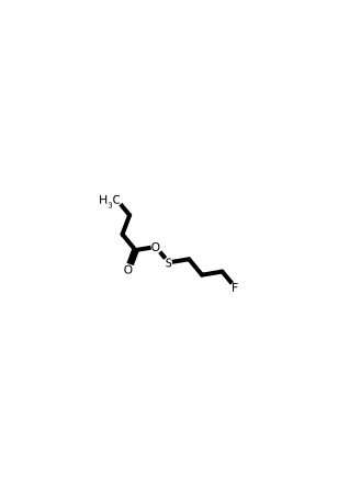 CCCC(=O)OSCCCF